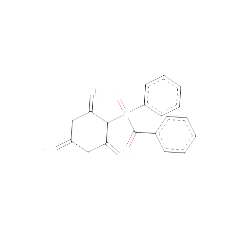 C=C1CC(=C)C(P(=O)(C(=O)c2ccccc2)c2ccccc2)C(=C)C1